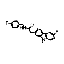 Cn1c2ccc(F)cc2c2ccc(CC(=O)NCc3ccc(F)cc3)cc21